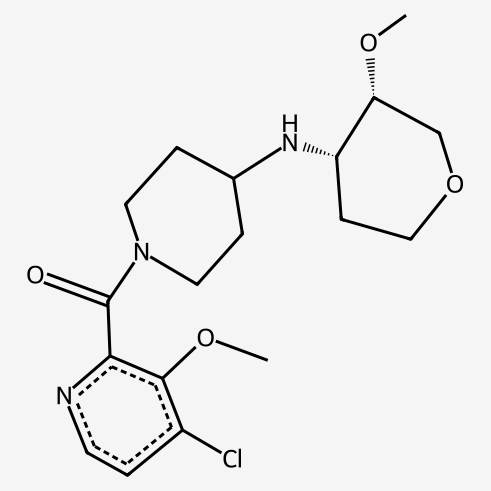 COc1c(Cl)ccnc1C(=O)N1CCC(N[C@H]2CCOC[C@H]2OC)CC1